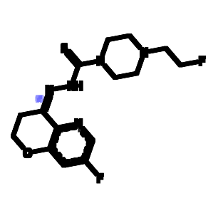 FCCN1CCN(C(=S)N/N=C2/CCOc3cc(F)cnc32)CC1